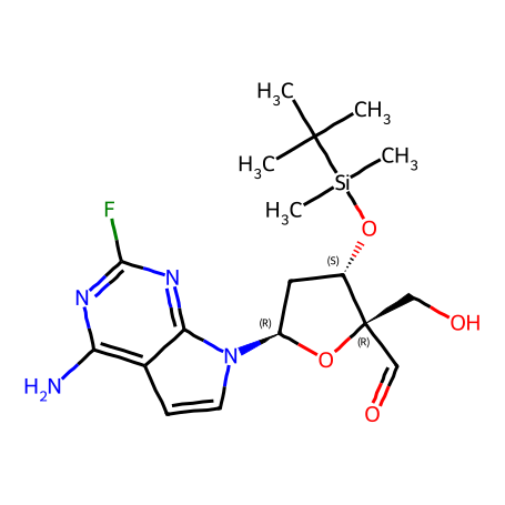 CC(C)(C)[Si](C)(C)O[C@H]1C[C@H](n2ccc3c(N)nc(F)nc32)O[C@]1(C=O)CO